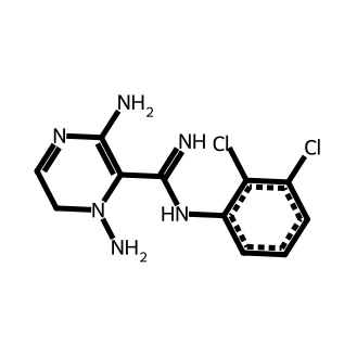 N=C(Nc1cccc(Cl)c1Cl)C1=C(N)N=CCN1N